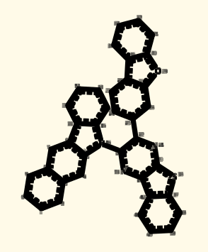 c1ccc2cc3c(cc2c1)c1ccccc1n3-c1nc2c(nc1-c1ccc3c(c1)oc1ccccc13)sc1ccccc12